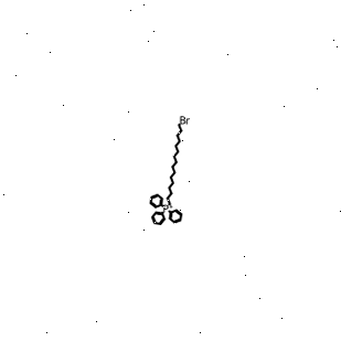 BrCCCCCCCCCCCCCCCC[P+](c1ccccc1)(c1ccccc1)c1ccccc1